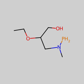 CCOC(CO)CN(C)P